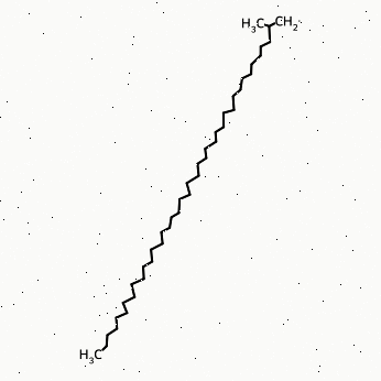 [CH2]C(C)CCCCCCCCCCCCCCCCCCCCCCCCCCCCCCCCCCCCCC